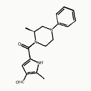 Cc1[nH]c(C(=O)N2CCN(c3ccccc3)C[C@@H]2C)cc1C=O